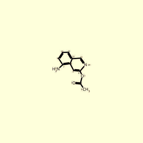 CC(=O)Oc1cc2c(N)cccc2cn1